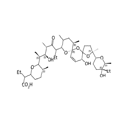 CCC(C(=O)O)C1CC[C@H](C)C([C@@H](C)[C@H](O)C(C)C(=O)C(CC)C2O[C@]3(C=CC(O)C4(CC[C@@](C)(C5CC[C@](O)(CC)[C@H](C)O5)O4)O3)[C@H](C)CC2C)O1